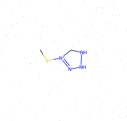 CS[N+]1=NNNC1